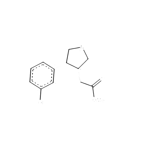 COC(=O)C[C@H]1CNC[C@H]1c1cccc(O)c1